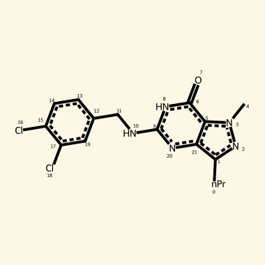 CCCc1nn(C)c2c(=O)[nH]c(NCc3ccc(Cl)c(Cl)c3)nc12